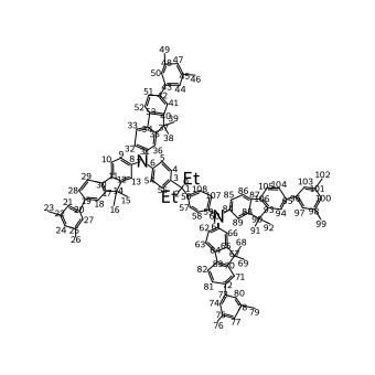 CCC(CC)(c1ccc(N(c2ccc3c(c2)C(C)(C)c2cc(-c4cc(C)cc(C)c4)ccc2-3)c2ccc3c(c2)C(C)(C)c2cc(-c4cc(C)cc(C)c4)ccc2-3)cc1)c1ccc(N(c2ccc3c(c2)C(C)(C)c2cc(-c4cc(C)cc(C)c4)ccc2-3)c2ccc3c(c2)C(C)(C)c2cc(-c4cc(C)cc(C)c4)ccc2-3)cc1